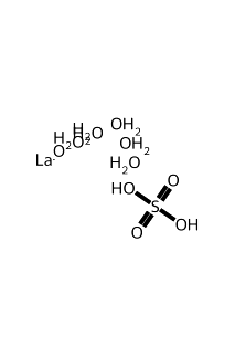 O.O.O.O.O.O.O=S(=O)(O)O.[La]